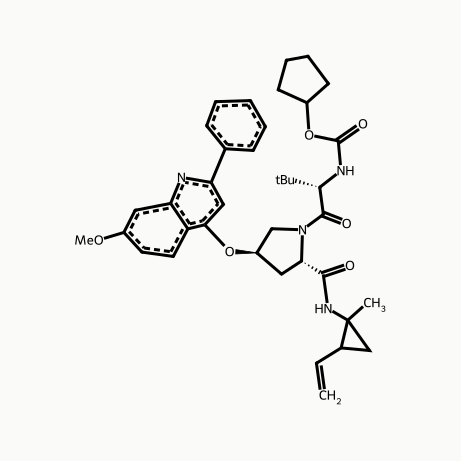 C=CC1CC1(C)NC(=O)[C@@H]1C[C@@H](Oc2cc(-c3ccccc3)nc3cc(OC)ccc23)CN1C(=O)[C@@H](NC(=O)OC1CCCC1)C(C)(C)C